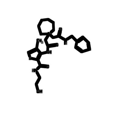 Cc1csc(C(=O)NCCO)c1NC(=O)C[N+]1(CC(=O)NCc2ccccc2)CCCCCC1